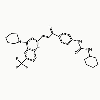 O=C(Nc1ccc(C(=O)/C=C/c2cc(N3CCCCC3)c3cc(C(F)(F)F)ccc3n2)cc1)NC1CCCCC1